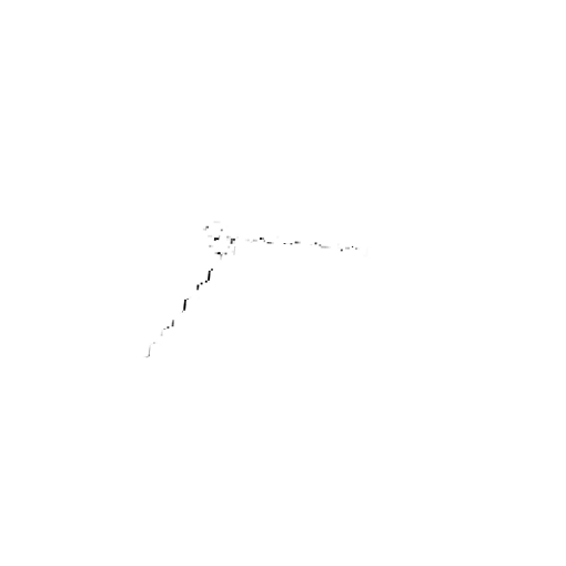 CCCCOc1nc(OCCCSCCOCCOCCS)nc(OCCCSCCOCCOCCS)n1